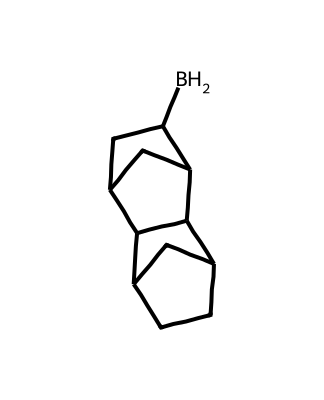 BC1CC2CC1C1C3CCC(C3)C21